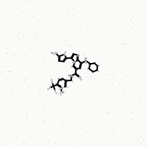 Cc1ccc(-c2cnc3c(NC4CCCCC4)cc(C(=O)NCc4ccc(C(F)(F)F)[n+](O)c4)cn23)s1